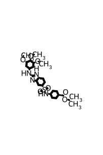 COc1cc(Nc2nc3cc(S(=O)(=O)Nc4ccc(C(=O)OC(C)C)cc4)ccc3[nH]2)cc(OC)c1OC